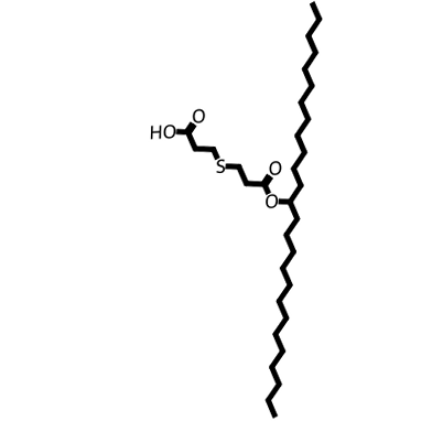 CCCCCCCCCCCCCC(CCCCCCCCCCCC)OC(=O)CCSCCC(=O)O